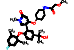 COCC(=O)N[C@H]1CC[C@H](Oc2cc(=O)n(C)cc2-c2cc(C(C)(C)O)ccc2Oc2c(C)cc(F)cc2C)CC1